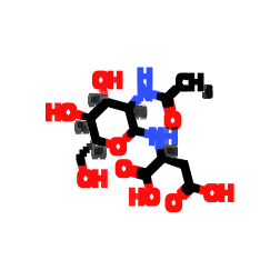 CC(=O)N[C@H]1C(N[C@@H](CC(=O)O)C(=O)O)O[C@H](CO)[C@@H](O)[C@@H]1O